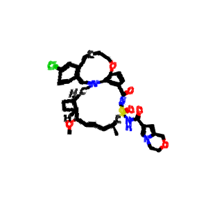 CO[C@H]1/C=C/C[C@H](C)CS(=O)(NC(=O)c2cc3n(c2)CCOC3)=NC(=O)c2ccc3c(c2)N(Cc2ccc(Cl)cc2CCCCO3)C[C@@H]2CC[C@H]21